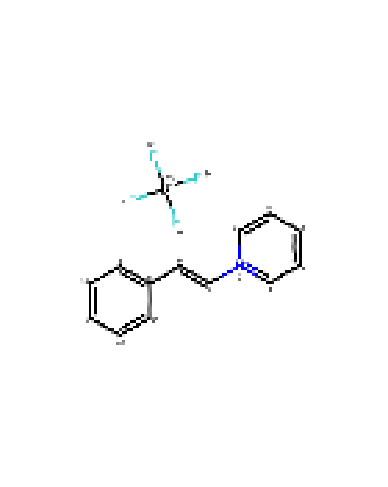 C(=C[n+]1ccccc1)c1ccccc1.F[B-](F)(F)F